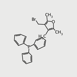 Cc1oc(C)c(CBr)c1C.c1ccc(P(c2ccccc2)c2ccccc2)cc1